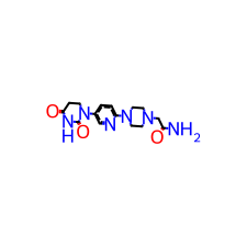 NC(=O)CN1CCN(c2ccc(N3CCC(=O)NC3=O)cn2)CC1